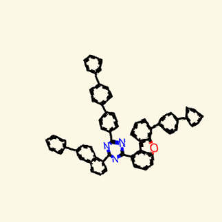 c1ccc(-c2ccc(-c3ccc(-c4nc(-c5cccc6cc(-c7ccccc7)ccc56)nc(-c5cccc6oc7c(-c8ccc(-c9ccccc9)cc8)cccc7c56)n4)cc3)cc2)cc1